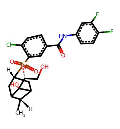 C[C@H]1C2C[C@@H](S(=O)(=O)c3cc(C(=O)Nc4ccc(F)c(F)c4)ccc3Cl)CC1[C@@]2(O)[C@H](O)CO